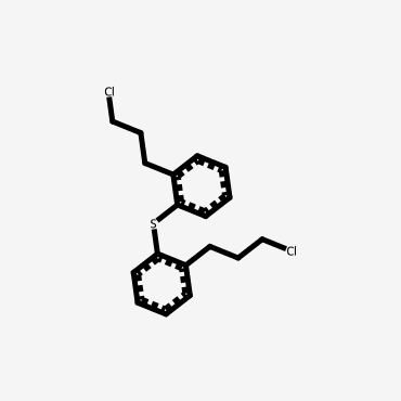 ClCCCc1ccccc1Sc1ccccc1CCCCl